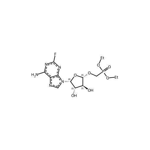 CCOP(=O)(CO[C@H]1O[C@@H](n2cnc3c(N)nc(F)nc32)[C@@H](O)[C@@H]1O)OCC